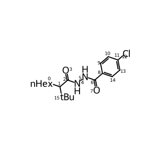 CCCCCCC(C(=O)NNC(=O)c1ccc(Cl)cc1)C(C)(C)C